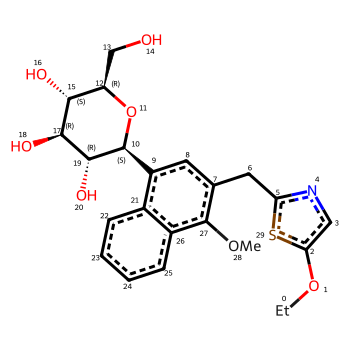 CCOc1cnc(Cc2cc([C@@H]3O[C@H](CO)[C@@H](O)[C@H](O)[C@H]3O)c3ccccc3c2OC)s1